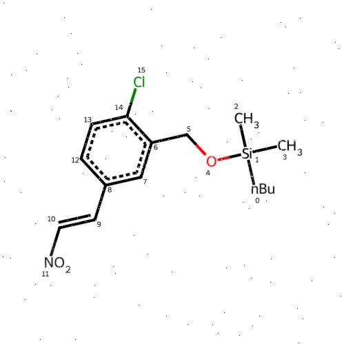 CCCC[Si](C)(C)OCc1cc(/C=C/[N+](=O)[O-])ccc1Cl